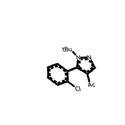 CC(=O)c1cnn(C(C)(C)C)c1-c1ccccc1Cl